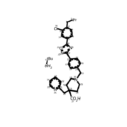 CC(C)(C)N.CC(C)Cc1ccc(-c2nc(-c3ccc(CN4CCC(Cc5ccccn5)(C(=O)O)CC4)cc3)no2)cc1Cl